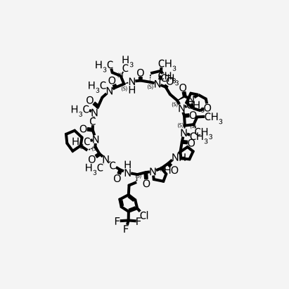 CC[C@H](C)[C@@H]1NC(=O)[C@H](CC(C)C)N(C)C(=O)C[C@@H](C(=O)N2C3CCC2COC3)N(C)C(=O)[C@H]([C@@H](C)CC)N(C)C(=O)C2(CCCC2)NC(=O)[C@@H]2CCCN2C(=O)[C@H](CCc2ccc(C(F)(F)F)c(Cl)c2)NC(=O)CN(C)C(=O)[C@H](CC2CCCCC2)N(C)C(=O)CN(C)C(=O)CN(C)C1=O